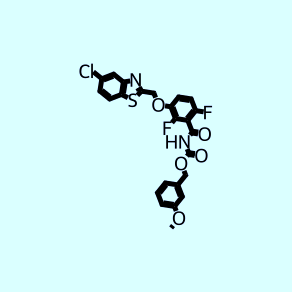 COc1cccc(COC(=O)NC(=O)c2c(F)ccc(OCc3nc4cc(Cl)ccc4s3)c2F)c1